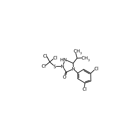 CC(C)C1NN(SC(Cl)(Cl)Cl)C(=O)N1c1cc(Cl)cc(Cl)c1